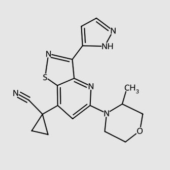 CC1COCCN1c1cc(C2(C#N)CC2)c2snc(-c3ccn[nH]3)c2n1